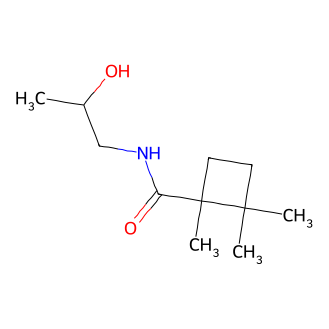 CC(O)CNC(=O)C1(C)CCC1(C)C